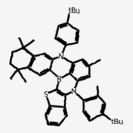 Cc1cc2c3c(c1)N(c1ccc(C(C)(C)C)cc1C)c1c(sc4ccccc14)B3c1cc3c(cc1N2c1ccc(C(C)(C)C)cc1)C(C)(C)CCC3(C)C